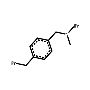 CC(C)Cc1ccc(CN(C)C(C)C)cc1